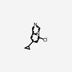 Clc1cc(C2CC2)cc2cncn12